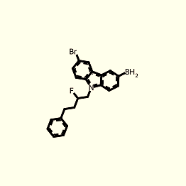 Bc1ccc2c(c1)c1cc(Br)ccc1n2CC(F)CCc1ccccc1